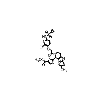 COC(=O)c1cnc(C2c3c(nc4sc(C)nn34)CCN2C(=O)COc2ccc(NS(=O)(=O)C3CC3)nc2Cl)s1